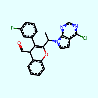 CC(C1=C(c2cccc(F)c2)C(C=O)c2ccccc2O1)n1ccc2c(Cl)ncnc21